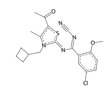 COc1ccc(Cl)cc1C(=NC#N)N=c1sc(C(C)=O)c(C)n1CC1CCC1